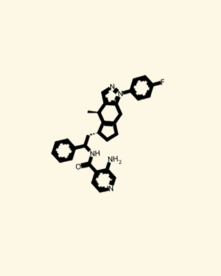 C[C@@H]1C2=C(CC[C@@H]2CC(NC(=O)c2ccncc2N)c2ccccc2)Cc2c1cnn2-c1ccc(F)cc1